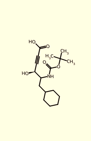 CC(C)(C)OC(=O)NC(CC1CCCCC1)[C@@H](O)C#CC(=O)O